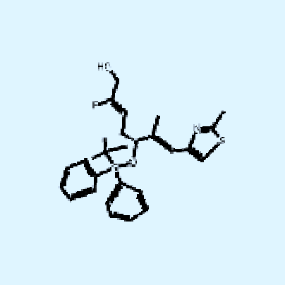 CC(=Cc1csc(C)n1)[C@H](CC=C(F)CO)O[Si](c1ccccc1)(c1ccccc1)C(C)(C)C